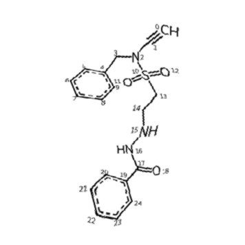 C#CN(Cc1ccccc1)S(=O)(=O)CCNNC(=O)c1ccccc1